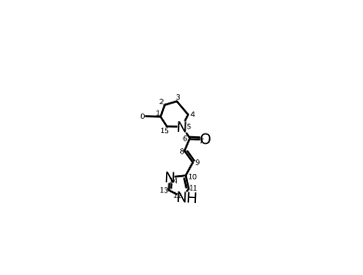 CC1CCCN(C(=O)/C=C/c2c[nH]cn2)C1